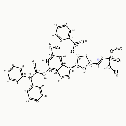 CCOP(=O)(/C=C/[C@@H]1C[C@@H](OC(=O)c2ccccc2)[C@H](n2cnc3c(OC(=O)N(c4ccccc4)c4ccccc4)nc(NC(C)=O)nc32)O1)OCC